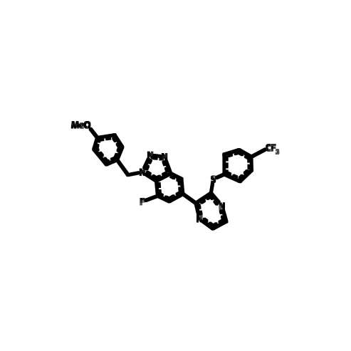 COc1ccc(Cn2nnc3cc(-c4nccnc4Sc4ccc(C(F)(F)F)cc4)cc(F)c32)cc1